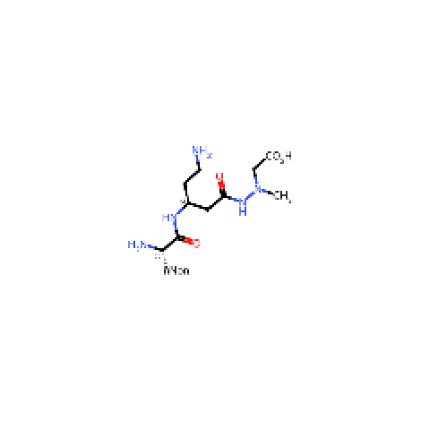 CCCCCCCCC[C@H](N)C(=O)N[C@@H](CCN)CC(=O)NN(C)CC(=O)O